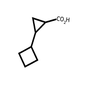 O=C(O)C1CC1C1CCC1